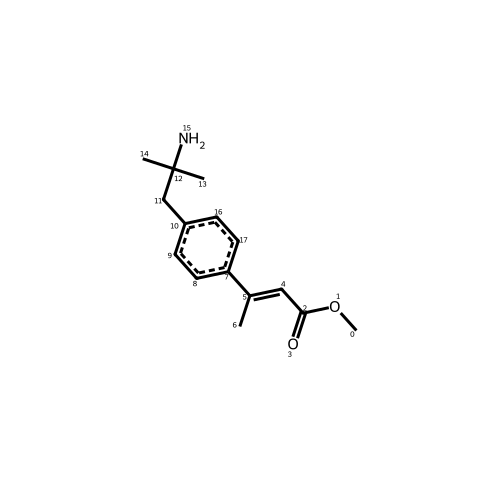 COC(=O)C=C(C)c1ccc(CC(C)(C)N)cc1